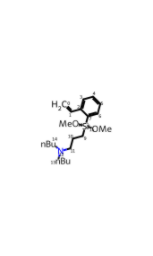 C=Cc1ccccc1[Si](CCCN(CCCC)CCCC)(OC)OC